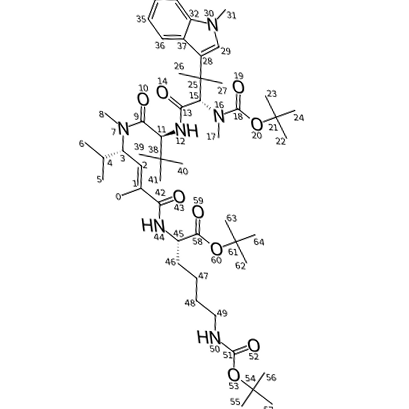 C/C(=C\[C@H](C(C)C)N(C)C(=O)[C@@H](NC(=O)[C@@H](N(C)C(=O)OC(C)(C)C)C(C)(C)c1cn(C)c2ccccc12)C(C)(C)C)C(=O)N[C@@H](CCCCNC(=O)OC(C)(C)C)C(=O)OC(C)(C)C